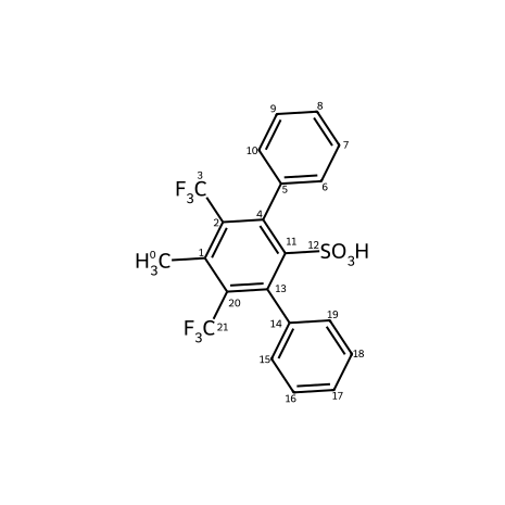 Cc1c(C(F)(F)F)c(-c2ccccc2)c(S(=O)(=O)O)c(-c2ccccc2)c1C(F)(F)F